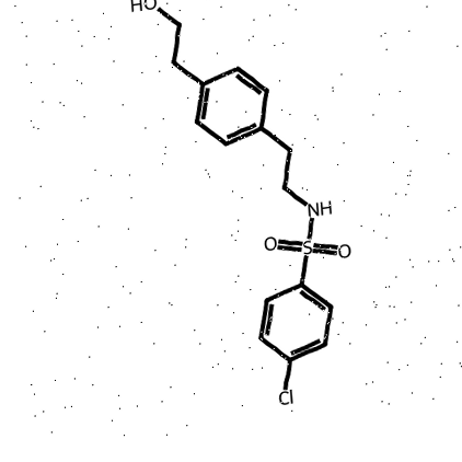 O=S(=O)(NCCc1ccc(CCO)cc1)c1ccc(Cl)cc1